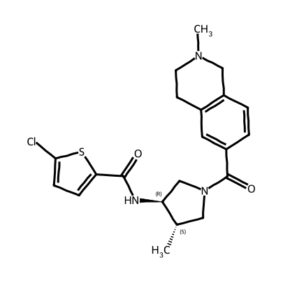 C[C@H]1CN(C(=O)c2ccc3c(c2)CCN(C)C3)C[C@@H]1NC(=O)c1ccc(Cl)s1